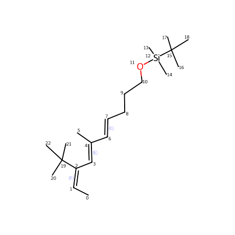 C\C=C(/C=C(C)/C=C/CCCO[Si](C)(C)C(C)(C)C)C(C)(C)C